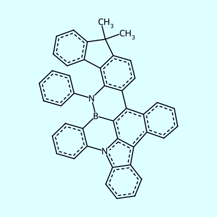 CC1(C)c2ccccc2-c2c1ccc1c2N(c2ccccc2)B2c3ccccc3-n3c4ccccc4c4c5ccccc5c-1c2c43